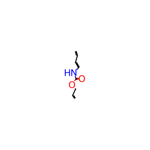 C=CC=CNC(=O)OCC=C